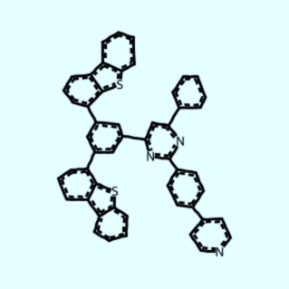 c1ccc(-c2cc(-c3cc(-c4cccc5c4sc4ccccc45)cc(-c4cccc5c4sc4ccccc45)c3)nc(-c3ccc(-c4ccncc4)cc3)n2)cc1